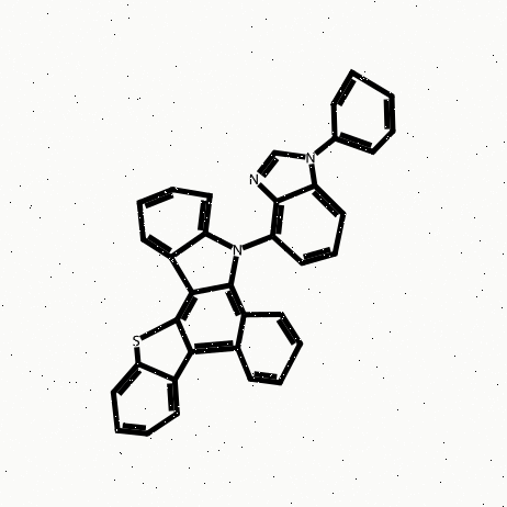 c1ccc(-n2cnc3c(-n4c5ccccc5c5c6sc7ccccc7c6c6ccccc6c54)cccc32)cc1